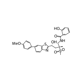 COc1ccc(-c2ccc3nc([C@H](O)C[C@](C)(CNC(=O)c4ccccc4O)S(C)(=O)=O)sc3c2)cc1